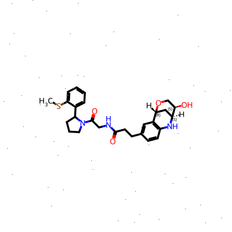 CSc1ccccc1C1CCCN1C(=O)CNC(=O)CCc1ccc2c(c1)[C@H]1C[C@H](N2)[C@H](O)CO1